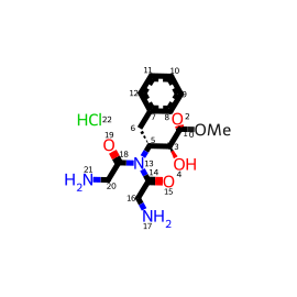 COC(=O)[C@@H](O)[C@@H](Cc1ccccc1)N(C(=O)CN)C(=O)CN.Cl